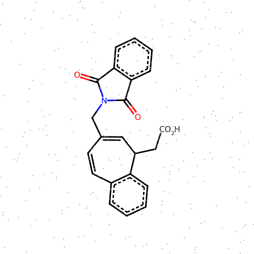 O=C(O)CC1C=C(CN2C(=O)c3ccccc3C2=O)C=Cc2ccccc21